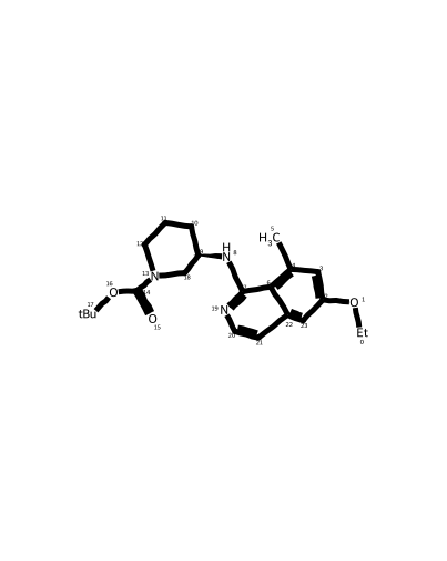 CCOc1cc(C)c2c(N[C@@H]3CCCN(C(=O)OC(C)(C)C)C3)nccc2c1